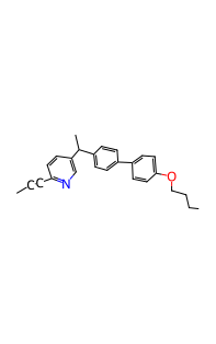 CCCCOc1ccc(-c2ccc(C(C)c3ccc(CCC)nc3)cc2)cc1